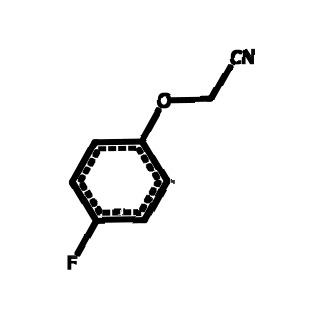 N#CCOc1[c]cc(F)cc1